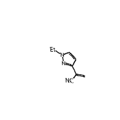 C=C(C#N)c1ccn(CC)n1